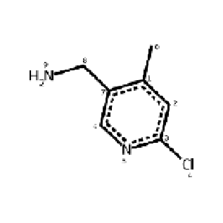 Cc1cc(Cl)ncc1CN